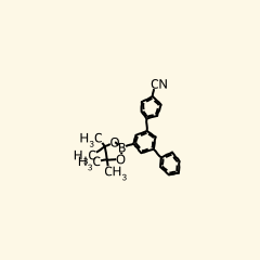 CC1(C)OB(c2cc(-c3ccccc3)cc(-c3ccc(C#N)cc3)c2)OC1(C)C